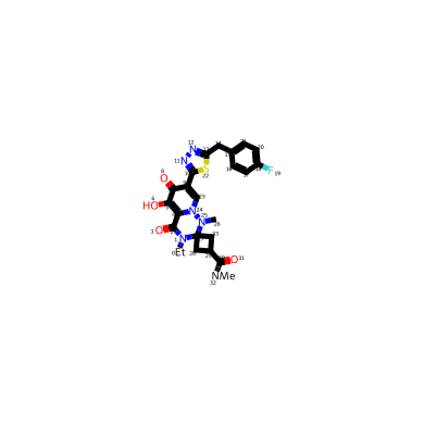 CCN1C(=O)c2c(O)c(=O)c(-c3nnc(Cc4ccc(F)cc4)s3)cn2N(C)C12CC(C(=O)NC)C2